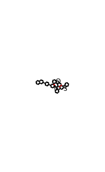 c1ccc(N(c2ccc(-c3ccc(-c4ccc5ccccc5c4)cc3)cc2)c2cccc3oc4ccccc4c23)c(-c2ccc3c(c2)sc2ccccc23)c1